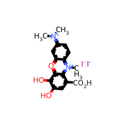 C[N+](C)=c1ccc2[n+](C)c3c(C(=O)O)cc(O)c(O)c3oc-2c1.[I-].[I-]